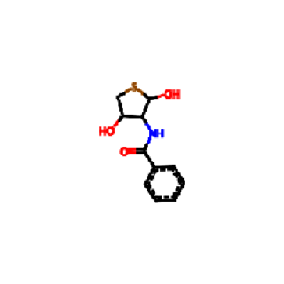 O=C(NC1C(O)CSC1O)c1ccccc1